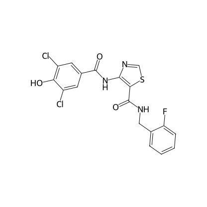 O=C(Nc1ncsc1C(=O)NCc1ccccc1F)c1cc(Cl)c(O)c(Cl)c1